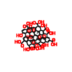 CC(=O)C1=C2C(C(=O)O)C3=CC(C(=O)O)=CC4C(O)C5C6(C(=O)O)OC67C(C(=O)O)C6C(C(=O)O)Cc8c(C(=O)O)cc9c%10c8[C@]68O[C@]86C7[C@]78O[C@]57[C@@]5(O[C@]345)C2C2C8=C3C45OC47C4(OC48C9=C(O)C=CC8[C@]4(C(=O)O)O[C@]74CC4=C5[C@@]2(C)C1C(O)=C4C(=O)O)C%10[C@@]36O